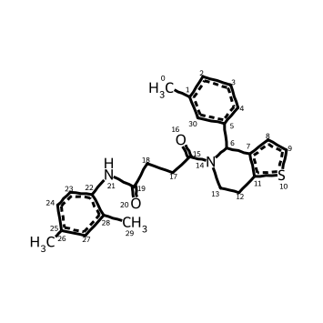 Cc1cccc(C2c3ccsc3CCN2C(=O)CCC(=O)Nc2ccc(C)cc2C)c1